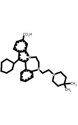 CC1(C)CCN(CCN2CCn3c(c(C4CCCCC4)c4ccc(C(=O)O)cc43)-c3ccccc32)CC1